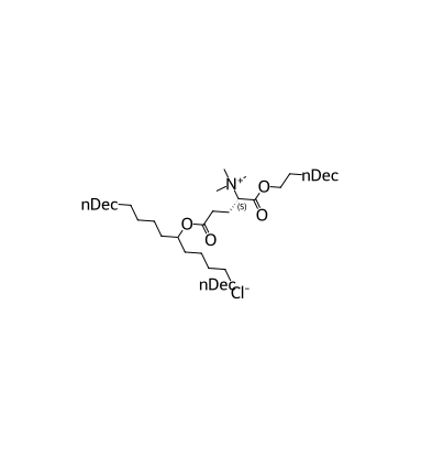 CCCCCCCCCCCCCCC(CCCCCCCCCCCCCC)OC(=O)CC[C@@H](C(=O)OCCCCCCCCCCCC)[N+](C)(C)C.[Cl-]